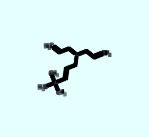 C=CCB(CC=C)CC=C[Si](C)(C)C